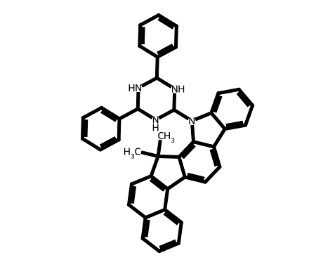 CC1(C)c2ccc3ccccc3c2-c2ccc3c4ccccc4n(C4NC(c5ccccc5)NC(c5ccccc5)N4)c3c21